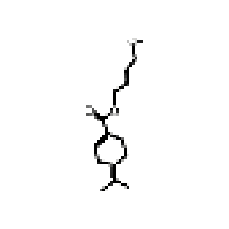 CC(C)=C1CC=C(C(=O)OCCCCO)CC1